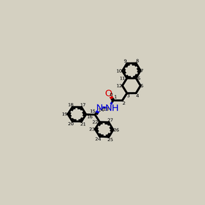 O=C(CC1CCc2ccccc2C1)NN=C(c1ccccc1)c1ccccc1